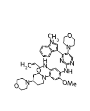 C=CC(=O)Nc1cc(Nc2ncc(N3CCOCC3)c(-c3cn(C)c4ccccc34)n2)c(OC)cc1N1CCC(N2CCOCC2)CC1